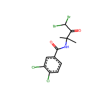 CC(C)(NC(=O)c1ccc(Cl)c(Cl)c1)C(=O)C(Br)Br